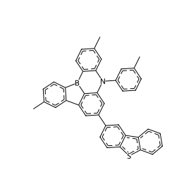 Cc1cccc(N2c3cc(C)ccc3B3c4ccc(C)cc4-c4cc(-c5ccc6sc7ccccc7c6c5)cc2c43)c1